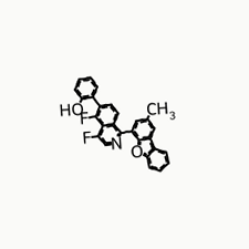 Cc1cc(-c2ncc(F)c3c(F)c(-c4ccccc4O)ccc23)c2oc3ccccc3c2c1